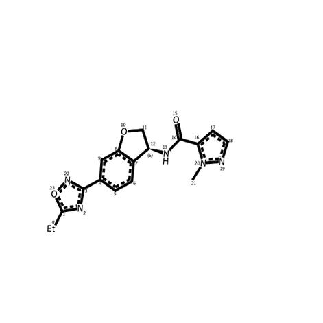 CCc1nc(-c2ccc3c(c2)OC[C@H]3NC(=O)c2ccnn2C)no1